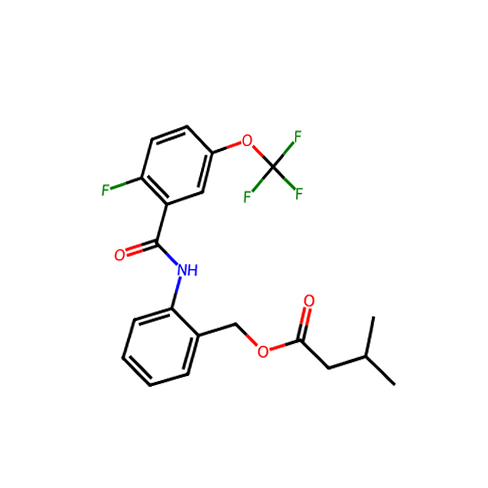 CC(C)CC(=O)OCc1ccccc1NC(=O)c1cc(OC(F)(F)F)ccc1F